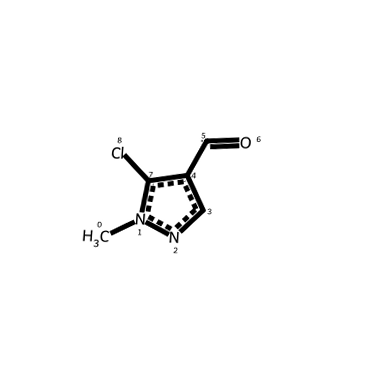 Cn1ncc([C]=O)c1Cl